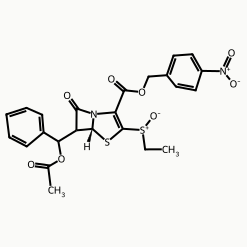 CC[S+]([O-])C1=C(C(=O)OCc2ccc([N+](=O)[O-])cc2)N2C(=O)C(C(OC(C)=O)c3ccccc3)[C@H]2S1